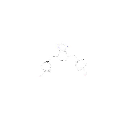 O=Cc1ccc(Cc2ccc(Cc3ccc(C=O)cc3)c3[nH]cnc23)cc1